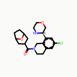 O=C(C1CC2CCC(C1)O2)N1CCc2cc(Cl)cc([C@@H]3COCCN3)c2C1